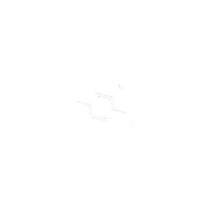 COc1c[c]c(F)cc1N